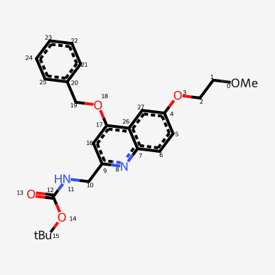 COCCOc1ccc2nc(CNC(=O)OC(C)(C)C)cc(OCc3ccccc3)c2c1